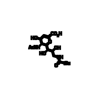 CC(=O)N[C@@H]1C(O)C=C(C(=O)O)OC1[C@@H](O)[C@@H](O)CNC(=O)C(C)(C)C